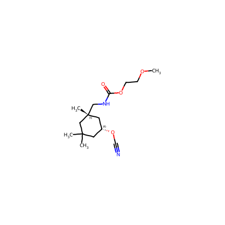 COCCOC(=O)NC[C@]1(C)C[C@H](OC#N)CC(C)(C)C1